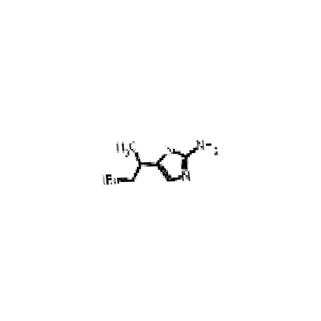 CC(CC(C)(C)C)c1cnc(N)s1